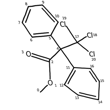 COC(=O)C(c1ccccc1)(c1ccccc1)C(Cl)(Cl)Cl